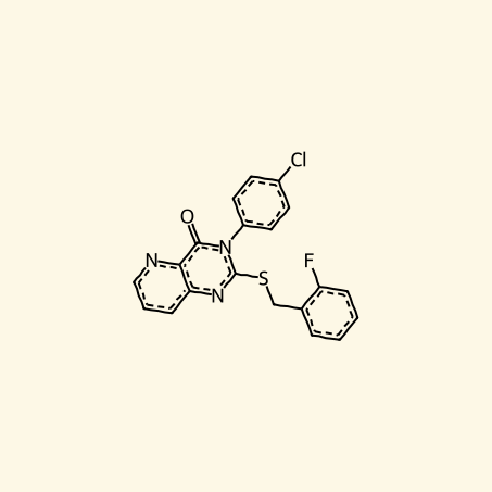 O=c1c2ncccc2nc(SCc2ccccc2F)n1-c1ccc(Cl)cc1